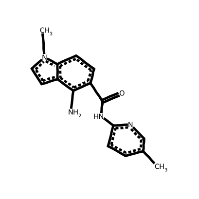 Cc1ccc(NC(=O)c2ccc3c(ccn3C)c2N)nc1